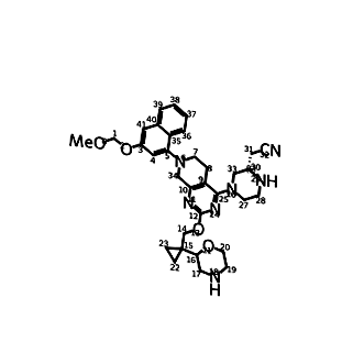 COCOc1cc(N2CCc3c(nc(OCC4(C5CNCCO5)CC4)nc3N3CCN[C@@H](CC#N)C3)C2)c2ccccc2c1